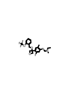 CCN(C)C=Nc1cc(F)c(C2(OCc3ccccc3OC(F)(F)F)COC2)cc1C